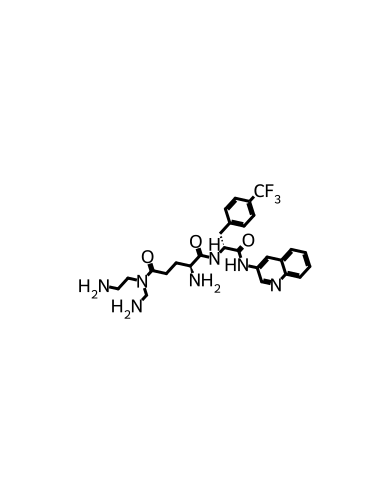 NCCN(CN)C(=O)CC[C@H](N)C(=O)N[C@H](Cc1ccc(C(F)(F)F)cc1)C(=O)Nc1cnc2ccccc2c1